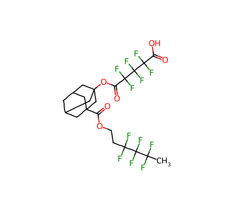 CC(F)(F)C(F)(F)C(F)(F)CCOC(=O)C12CC3CC(CC(OC(=O)C(F)(F)C(F)(F)C(F)(F)C(=O)O)(C3)C1)C2